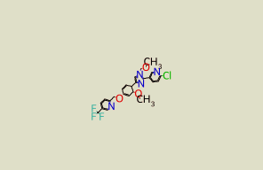 COCn1cc(C2C=CC(OCc3ccc(C(F)(F)F)cn3)=CC2OC)nc1-c1ccc(Cl)nc1